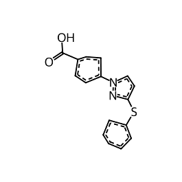 O=C(O)c1ccc(-n2ccc(Sc3ccccc3)n2)cc1